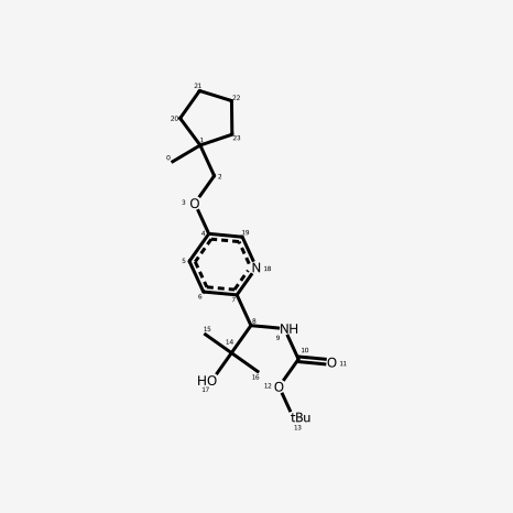 CC1(COc2ccc(C(NC(=O)OC(C)(C)C)C(C)(C)O)nc2)CCCC1